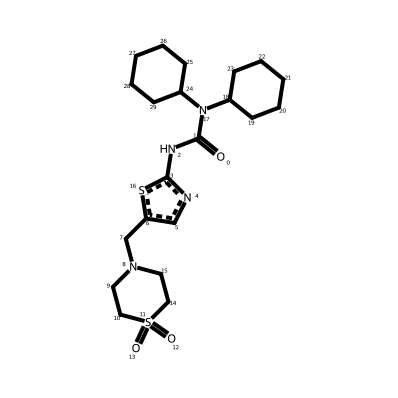 O=C(Nc1ncc(CN2CCS(=O)(=O)CC2)s1)N(C1CCCCC1)C1CCCCC1